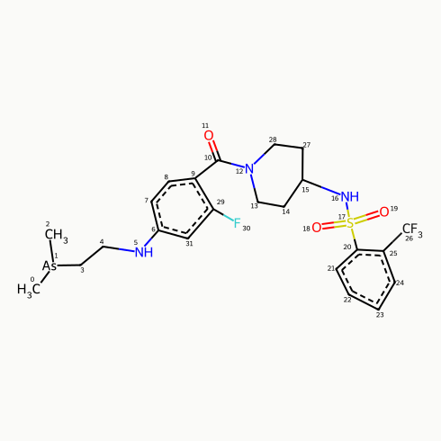 C[As](C)CCNc1ccc(C(=O)N2CCC(NS(=O)(=O)c3ccccc3C(F)(F)F)CC2)c(F)c1